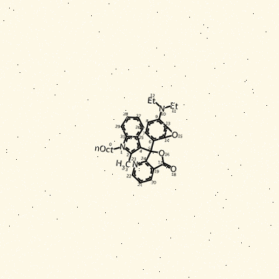 CCCCCCCCn1c(C)c(C2(c3ccc(N(CC)CC)c4c3O4)OC(=O)c3cccnc32)c2ccccc21